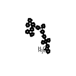 CC1(C)c2ccccc2-c2ccc(-c3c4ccccc4c(-c4ccc(-c5ccc(N(c6ccccc6)c6ccc(-n7c8ccc(-c9ccccc9-c9ccccc9)cc8c8cc(-c9ccccc9-c9ccccc9)ccc87)cc6)cc5)cc4)c4ccccc34)cc21